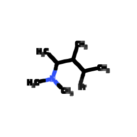 CC(C)C(C)C(C)C(C)N(C)C